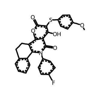 COc1ccc(Sc2c(O)c3c(=O)n(-c4ccc(F)cc4)c4c(c3oc2=O)CCc2ccccc2-4)cc1